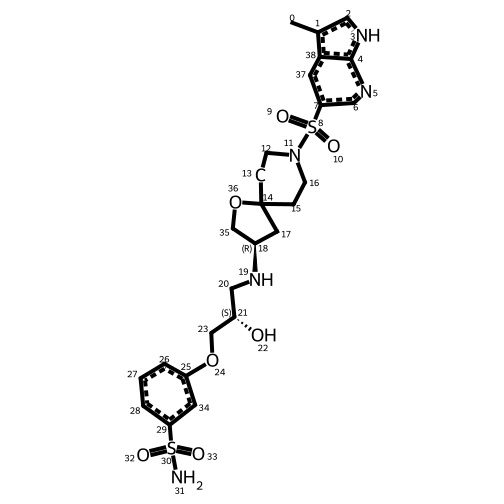 Cc1c[nH]c2ncc(S(=O)(=O)N3CCC4(CC3)C[C@@H](NC[C@H](O)COc3cccc(S(N)(=O)=O)c3)CO4)cc12